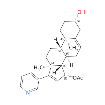 CC(=O)O[C@@H]1C=C(c2cccnc2)[C@@]2(C)CC[C@H]3[C@@H](CC=C4C[C@@H](O)CC[C@@]43C)[C@H]12